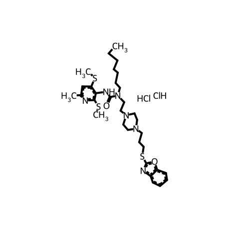 CCCCCCCN(CCN1CCN(CCCSc2nc3ccccc3o2)CC1)C(=O)Nc1c(SC)cc(C)nc1SC.Cl.Cl